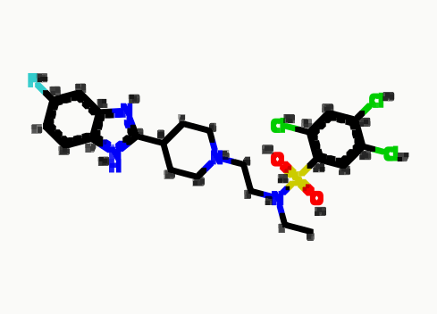 CCN(CCN1CCC(c2nc3cc(F)ccc3[nH]2)CC1)S(=O)(=O)c1cc(Cl)c(Cl)cc1Cl